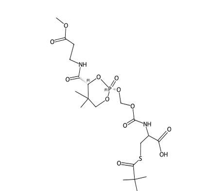 COC(=O)CCNC(=O)[C@@H]1O[P@](=O)(OCOC(=O)NC(CSC(=O)C(C)(C)C)C(=O)O)OCC1(C)C